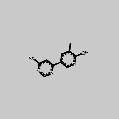 CCc1cc(-c2cnc(O)c(C)c2)ncn1